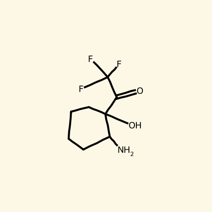 NC1CCCCC1(O)C(=O)C(F)(F)F